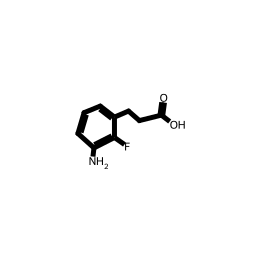 Nc1cccc(CCC(=O)O)c1F